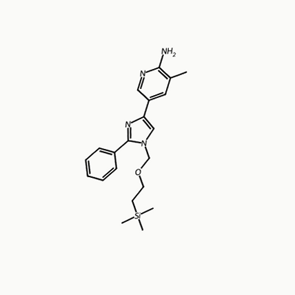 Cc1cc(-c2cn(COCC[Si](C)(C)C)c(-c3ccccc3)n2)cnc1N